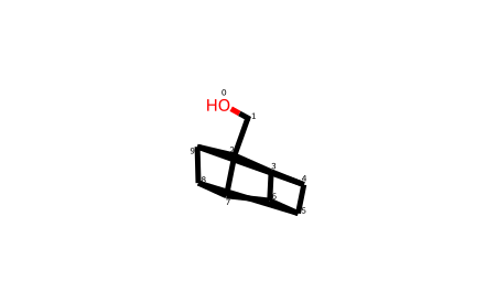 OCC12C3C4C5C3C1C5C42